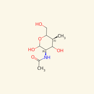 CC(=O)N[C@H]1C(O)OC(CO)[C@@H](C)C1O